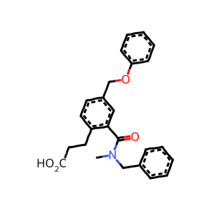 CN(Cc1ccccc1)C(=O)c1cc(COc2ccccc2)ccc1CCC(=O)O